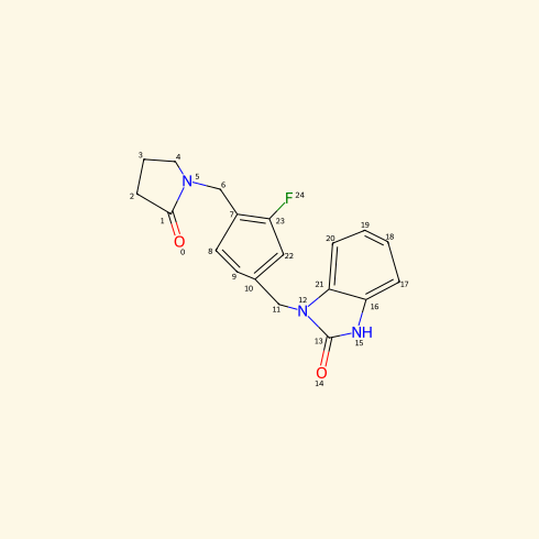 O=C1CCCN1Cc1ccc(Cn2c(=O)[nH]c3ccccc32)cc1F